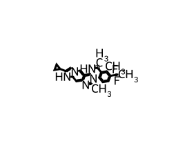 Cc1nc(N[C@H](C)c2cccc(C(C)(F)F)c2C)c2c(n1)=CC1NC(C3CC3)=CN1C=2